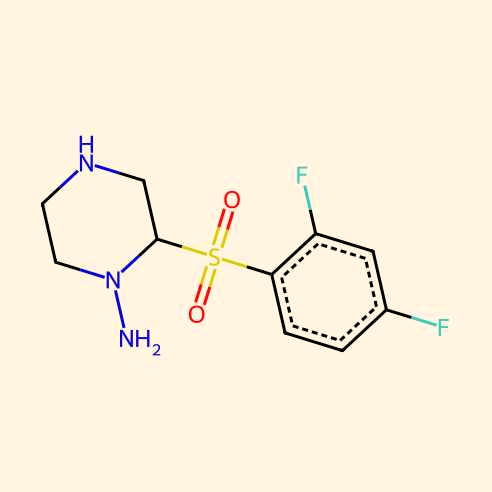 NN1CCNCC1S(=O)(=O)c1ccc(F)cc1F